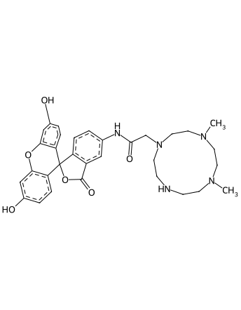 CN1CCNCCN(CC(=O)Nc2ccc3c(c2)C(=O)OC32c3ccc(O)cc3Oc3cc(O)ccc32)CCN(C)CC1